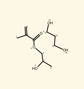 C=C(C)C(=O)OCC(C)O.OCCCO